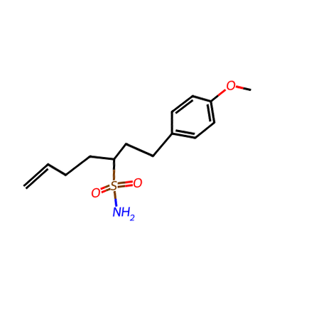 C=CCCC(CCc1ccc(OC)cc1)S(N)(=O)=O